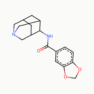 O=C(NC1C2CC3CC1CN(C3)C2)c1ccc2c(c1)OCO2